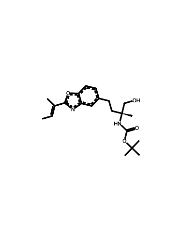 CC=C(C)c1nc2cc(CC[C@](C)(CO)NC(=O)OC(C)(C)C)ccc2o1